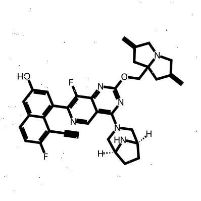 C#Cc1c(F)ccc2cc(O)cc(-c3ncc4c(N5C[C@H]6CC[C@@H](C5)N6)nc(OCC56CC(=C)CN5CC(=C)C6)nc4c3F)c12